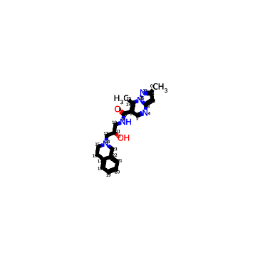 Cc1cc2ncc(C(=O)NCC(O)CN3CCc4ccccc4C3)c(C)n2n1